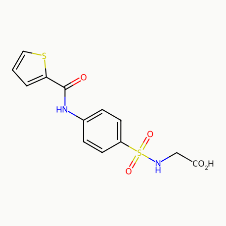 O=C(O)CNS(=O)(=O)c1ccc(NC(=O)c2cccs2)cc1